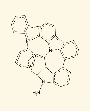 NN1c2cccc3c2C2C(=CC=CC21)n1c2c-3cccc2c2ccc3c4ccccc4n(-c4ccccc4)c3c21